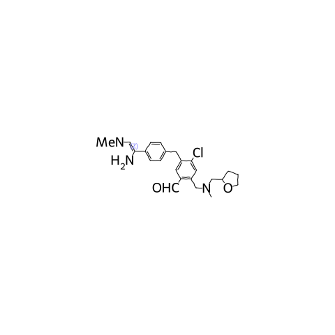 CN/C=C(\N)c1ccc(Cc2cc(C=O)c(CN(C)CC3CCCO3)cc2Cl)cc1